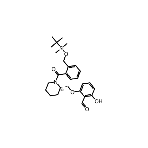 CC(C)(C)[Si](C)(C)OCc1ccccc1C(=O)N1CCCC[C@H]1COc1cccc(O)c1C=O